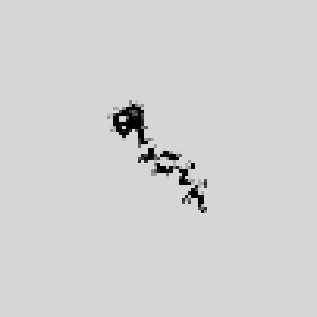 O=C(CBr)NCC(=O)N1C=CN(C(=O)OCCC23CC4CC(CC(C4)C2)C3)C=C1